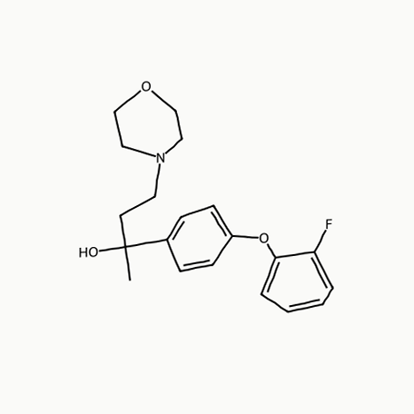 CC(O)(CCN1CCOCC1)c1ccc(Oc2ccccc2F)cc1